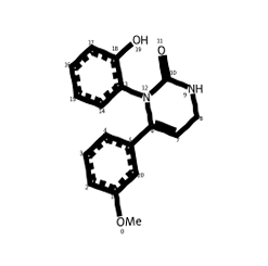 COc1cccc(C2=CCNC(=O)N2c2ccccc2O)c1